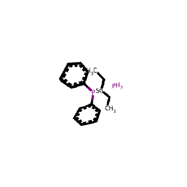 C[CH2][Sn][CH2]C.P.c1ccc([P]c2ccccc2)cc1